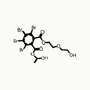 CC(O)OC(=O)c1c(Br)c(Br)c(Br)c(Br)c1C(=O)OCCOCCO